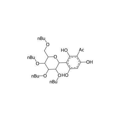 CCCCOCC1OC(c2c(O)cc(O)c(C(C)=O)c2O)C(OCCCC)C(OCCCC)C1OCCCC